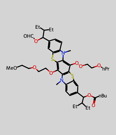 CCCCC(=O)OC(c1ccc2c(c1)sc1c(OOCCOCCC)c3c(sc4cc(C(OC=O)C(CC)CC)ccc4n3C)c(OCCOCCOC)c1n2C)C(CC)CC